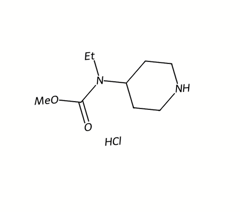 CCN(C(=O)OC)C1CCNCC1.Cl